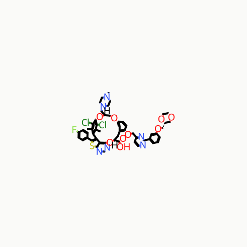 Cc1c(Cl)c2c(Cl)c(C)c1-c1c(-c3ccc(F)cc3)sc3ncnc(c13)O[C@@H](C(=O)O)Cc1cc(ccc1OCc1ccnc(-c3cccc(OC[C@H]4COCCO4)c3)n1)OC[C@@H](CN1CCN(C)CC1)O2